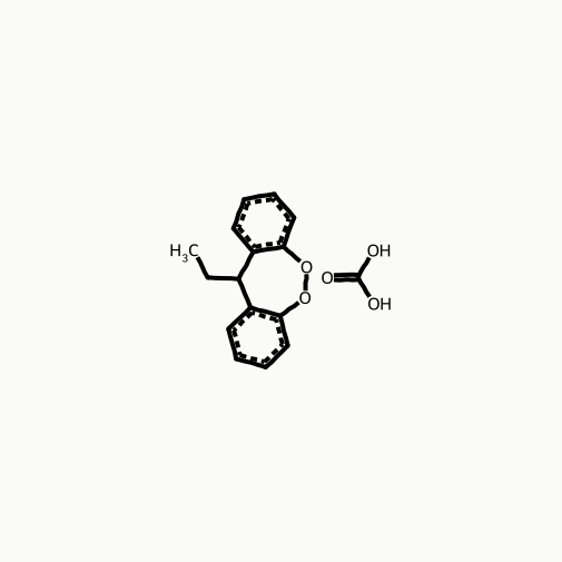 CCC1c2ccccc2OOc2ccccc21.O=C(O)O